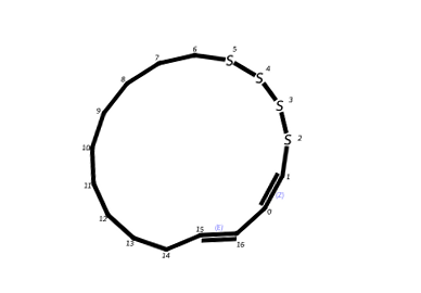 C1=C\SSSSCCCCCCCCC/C=C/1